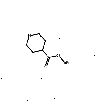 CCCOC(=O)C1CC[N]CC1